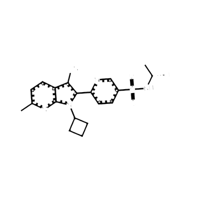 Cc1ccc2c(C#N)c(-c3ccc(S(=O)(=O)N[C@H](C)C(F)(F)F)cn3)n(C3CCC3)c2n1